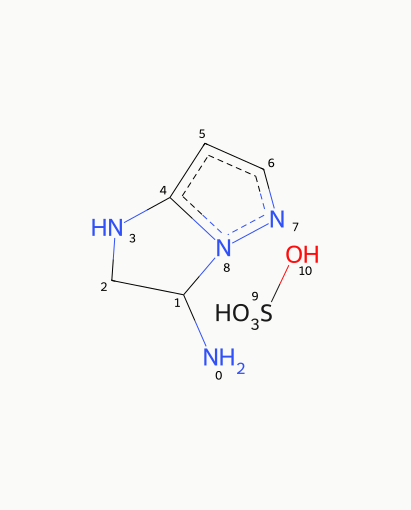 NC1CNc2ccnn21.O=S(=O)(O)O